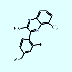 COc1ccc(-c2nc3c(C(F)(F)F)cccc3nc2C)c(F)c1